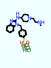 CNCCN1CCC(Nc2nc3ccccc3n2Cc2ccc(F)cc2)CC1.Cl.Cl.Cl.O